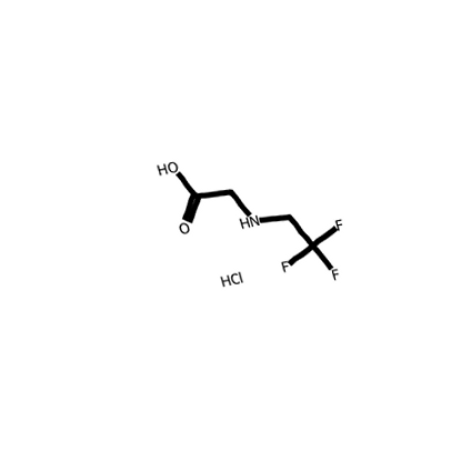 Cl.O=C(O)CNCC(F)(F)F